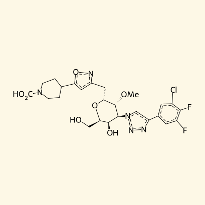 CO[C@@H]1[C@@H](n2cc(-c3cc(F)c(F)c(Cl)c3)nn2)[C@@H](O)[C@@H](CO)O[C@@H]1Cc1cc(C2CCN(C(=O)O)CC2)on1